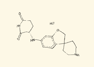 Cl.O=C1CC[C@H](Nc2ccc3c(c2)OCC32CCNCC2)C(=O)N1